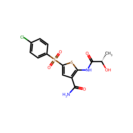 C[C@H](O)C(=O)Nc1sc(S(=O)(=O)c2ccc(Cl)cc2)cc1C(N)=O